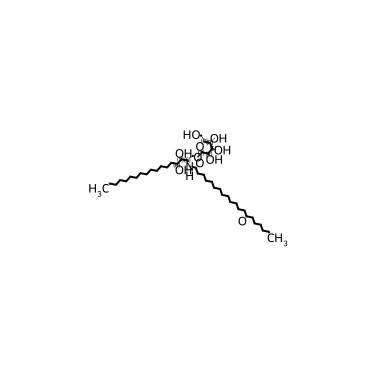 CCCCCCCCCCCCCC[C@@H](O)[C@@H](O)[C@H](CO[C@H]1O[C@H](CO)[C@H](O)[C@H](O)[C@H]1O)NC(=O)CCCCCCCCCCCCC(=O)CCCCCC